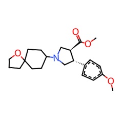 COC(=O)[C@@H]1CN(C2CCC3(CCCO3)CC2)C[C@H]1c1ccc(OC)cc1